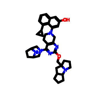 Oc1cc(N2CCc3c(nc(OCC45CCCN4C4CCCC4C5)nc3N3CC4CCC(C3)N4)C2)c2c(C3CC3)cccc2c1